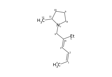 C/C=C\C=C(/CC)CN1CCCC1C